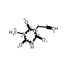 C#CCn1c(=O)[nH]c(=O)n(C)c1=O